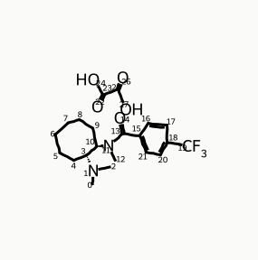 CN(C)[C@@H]1CCCCCC[C@H]1N(C)C(=O)c1ccc(C(F)(F)F)cc1.O=C(O)C(=O)O